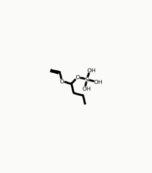 C=COC(CCC)O[Si](O)(O)O